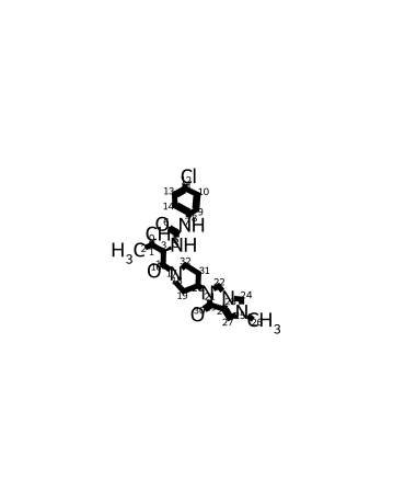 CC(C)[C@@H](NC(=O)Nc1ccc(Cl)cc1)C(=O)N1CCC(N2CN3CN(C)C=C3C2=O)CC1